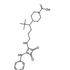 CC(C)(C)C(CCCNc1c(Nc2ccncc2)c(=O)c1=O)C1CCN(C(=O)O)CC1